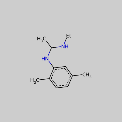 CCNC(C)Nc1cc(C)ccc1C